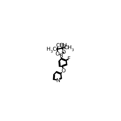 CC1(C)OB(c2ccc(Oc3cccnc3)cc2F)OC1(C)C